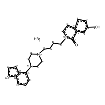 Br.O=c1c2cc(O)ccc2ccn1CCCCN1CCN(c2cccc3sccc23)CC1